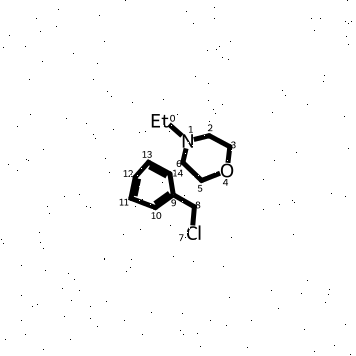 CCN1CCOCC1.ClCc1ccccc1